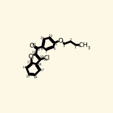 CCCCOc1ccc(C(=O)c2oc3ccccc3c2Cl)cc1